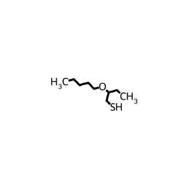 CCCCCOC(CC)CS